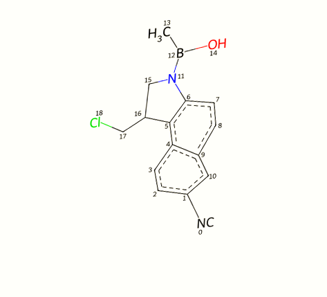 [C-]#[N+]c1ccc2c3c(ccc2c1)N(B(C)O)CC3CCl